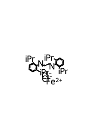 CC(C)c1cccc(C(C)C)c1N=CC=Nc1c(C(C)C)cccc1C(C)C.[Cl-].[Cl-].[Fe+2]